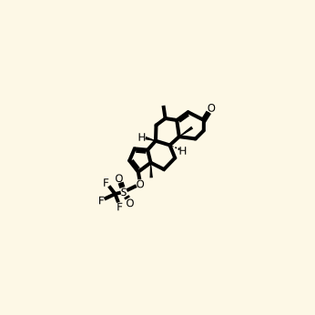 CC1C[C@H]2C3=CC=C(OS(=O)(=O)C(F)(F)F)[C@@]3(C)CC[C@@H]2[C@@]2(C)CCC(=O)C=C12